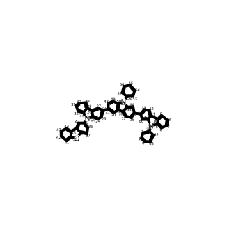 c1ccc(-n2c3ccccc3c3ccc(-c4ccc5c6cc(-c7ccc8c(c7)c7ccccc7n8-c7ccc8oc9ccccc9c8c7)ccc6n(-c6ccccc6)c5c4)cc32)cc1